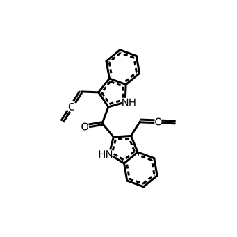 C=C=Cc1c(C(=O)c2[nH]c3ccccc3c2C=C=C)[nH]c2ccccc12